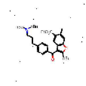 CCCCc1oc2cc(C)c(C(=O)OCC)cc2c1C(=O)c1ccc(CCCN(CCCC)CCCC)cc1